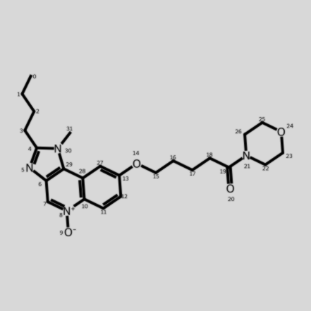 CCCCc1nc2c[n+]([O-])c3ccc(OCCCCC(=O)N4CCOCC4)cc3c2n1C